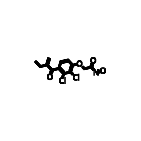 C=C(CC)C(=O)c1ccc(OCC(=O)N=O)c(Cl)c1Cl